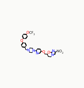 O=[N+]([O-])c1cn2c(n1)OC(COc1ccc(N3CCN(Cc4ccc(Oc5ccc(OC(F)(F)F)cc5)cc4)CC3)nc1)CC2